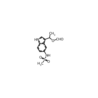 CC(OC=O)c1c[nH]c2ccc(NS(C)(=O)=O)cc12